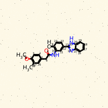 COc1ccc(CC(=O)Nc2cc(-c3nc4ccccc4[nH]3)ccc2C)cc1C